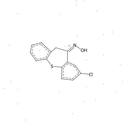 O/N=C1/Cc2ccccc2Sc2ccc(Cl)cc21